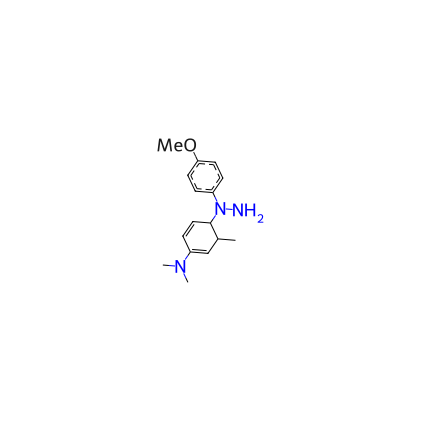 COc1ccc(N(N)C2C=CC(N(C)C)=CC2C)cc1